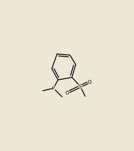 CP(C)c1ccccc1S(C)(=O)=O